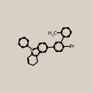 Cc1ccccc1-c1cc(-c2ccc3c(c2)c2c(n3-c3ccccc3)C=CCC2)ccc1C(C)C